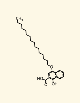 CCCCCCCCCCCCCCCCOc1cc(C(=O)O)c(O)c2ccccc12